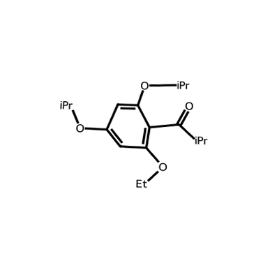 CCOc1cc(OC(C)C)cc(OC(C)C)c1C(=O)C(C)C